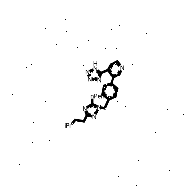 CCCCCc1nc(CCC(C)C)nn1Cc1ccc(-c2cnccc2-c2nnn[nH]2)cc1